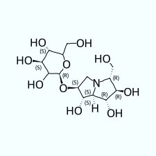 OCC1O[C@@H](O[C@H]2CN3[C@@H]([C@@H](O)[C@H](O)[C@H]3CO)[C@@H]2O)C(O)[C@@H](O)[C@@H]1O